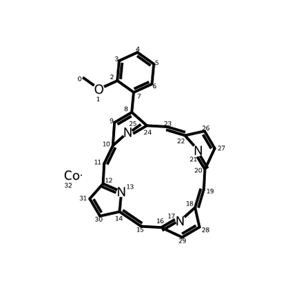 COc1ccccc1C1=CC2=CC3=NC(=CC4=NC(=CC5=NC(=CC1=N2)C=C5)C=C4)C=C3.[Co]